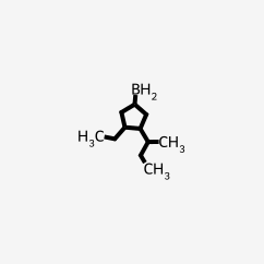 BC1CC(CC)C(C(C)CC)C1